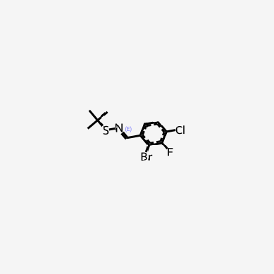 CC(C)(C)S/N=C/c1ccc(Cl)c(F)c1Br